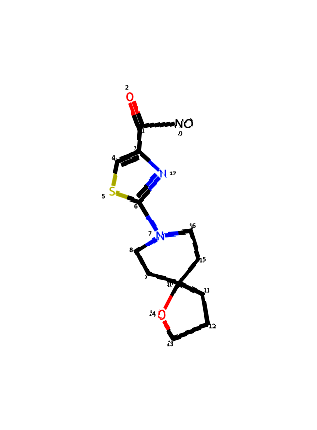 O=NC(=O)c1csc(N2CCC3(CCCO3)CC2)n1